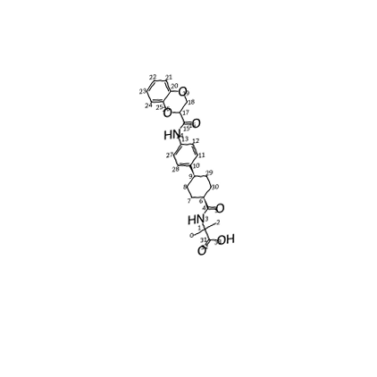 CC(C)(NC(=O)[C@H]1CC[C@@H](c2ccc(NC(=O)C3COc4ccccc4O3)cc2)CC1)C(=O)O